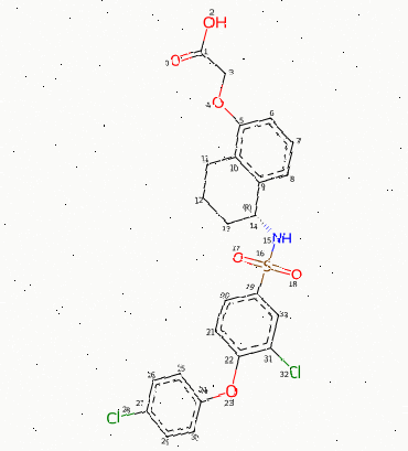 O=C(O)COc1cccc2c1CCC[C@H]2NS(=O)(=O)c1ccc(Oc2ccc(Cl)cc2)c(Cl)c1